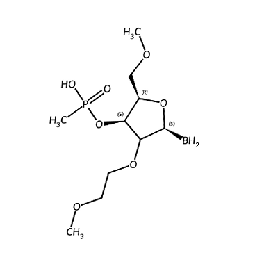 B[C@@H]1O[C@H](COC)[C@H](OP(C)(=O)O)C1OCCOC